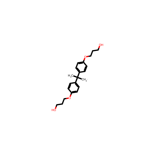 [CH2]C(C)(c1ccc(OCCCO)cc1)c1ccc(OCCCO)cc1